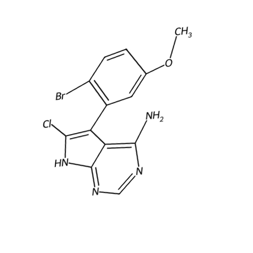 COc1ccc(Br)c(-c2c(Cl)[nH]c3ncnc(N)c23)c1